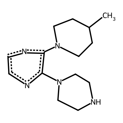 CC1CCN(c2nccnc2N2CCNCC2)CC1